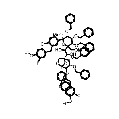 CCOc1ccc(Cc2cc([C@]34OC[C@@](C(O)C(O)C5(CO)O[C@@](OC)(c6ccc(Cl)c(Cc7ccc(OCC)c(F)c7)c6)[C@H](OCc6ccccc6)[C@@H](OCc6ccccc6)[C@H]5OCc5ccccc5)(O3)[C@H](OCc3ccccc3)[C@H](OCc3ccccc3)[C@H]4OCc3ccccc3)ccc2Cl)cc1F